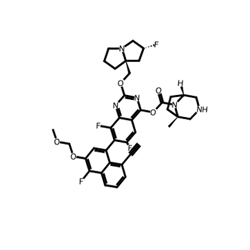 C#Cc1cccc2c(F)c(OCOC)cc(-c3c(F)cc4c(OC(=O)N5[C@@H]6CC[C@@]5(C)CNC6)nc(OC[C@@]56CCCN5C[C@H](F)C6)nc4c3F)c12